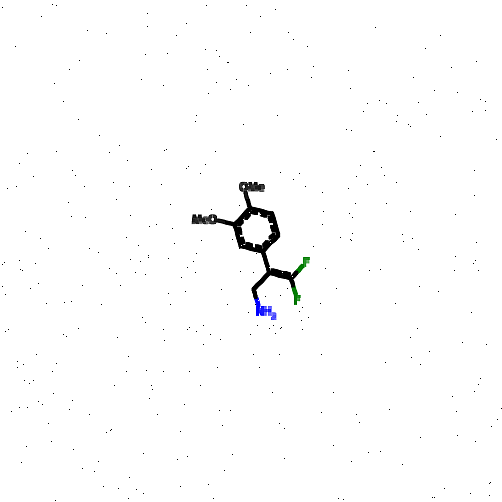 COc1ccc(C(CN)=C(F)F)cc1OC